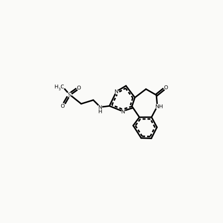 CS(=O)(=O)CCNc1ncc2c(n1)-c1ccccc1NC(=O)C2